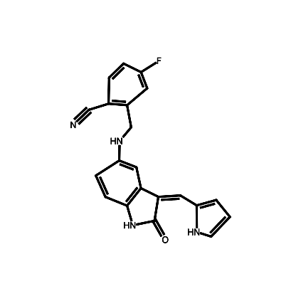 N#Cc1ccc(F)cc1CNc1ccc2c(c1)C(=Cc1ccc[nH]1)C(=O)N2